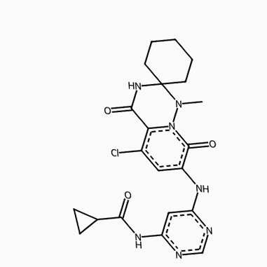 CN1n2c(c(Cl)cc(Nc3cc(NC(=O)C4CC4)ncn3)c2=O)C(=O)NC12CCCCC2